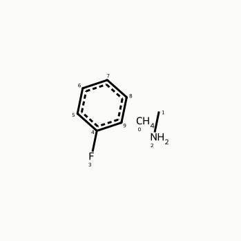 C.CN.Fc1ccccc1